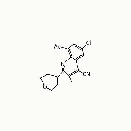 CC(=O)c1cc(Cl)cc2c(C#N)c(C)c(C3CCOCC3)nc12